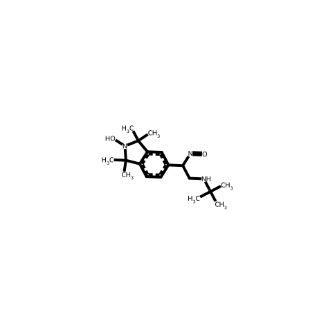 CC(C)(C)NCC(N=O)c1ccc2c(c1)C(C)(C)N(O)C2(C)C